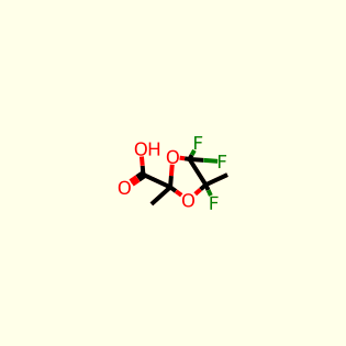 CC1(C(=O)O)OC(C)(F)C(F)(F)O1